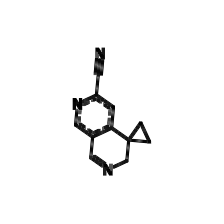 N#Cc1cc2c(cn1)C=NCC21CC1